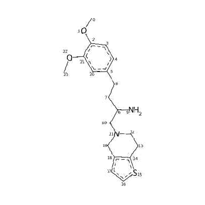 COc1ccc(CCC(N)CN2CCc3sccc3C2)cc1OC